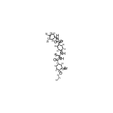 CCCOc1ccc(C(=O)NC(=S)Nc2ccc(S(=O)(=O)Nc3ccc(C)c(C)c3)cc2)cc1Br